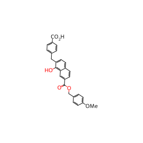 COc1ccc(COC(=O)c2ccc3ccc(Cc4ccc(C(=O)O)cc4)c(O)c3c2)cc1